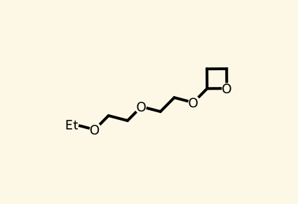 CCOCCOCCOC1CCO1